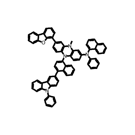 CN1c2cc(-c3cccc4c3oc3ccccc34)ccc2N(c2ccc(-c3ccc4c(c3)c3ccccc3n4-c3ccccc3)c3ccccc23)c2ccc(N(c3ccccc3)c3cccc4ccccc34)cc21